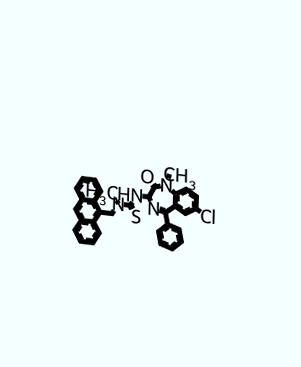 CN(Cc1c2ccccc2cc2ccccc12)C(=S)NC1N=C(c2ccccc2)c2cc(Cl)ccc2N(C)C1=O